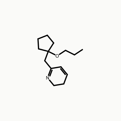 CCCOC1(CC2=NCCC=C2)CCCC1